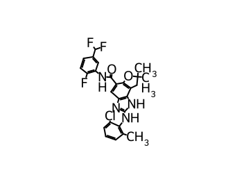 Cc1cccc(Cl)c1Nc1nc2cc(C(=O)Nc3cc(C(F)F)ccc3F)c3c(c2[nH]1)CC(C)(C)O3